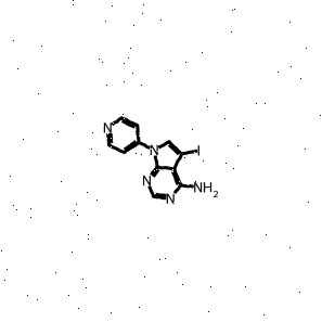 Nc1ncnc2c1c(I)cn2-c1ccncc1